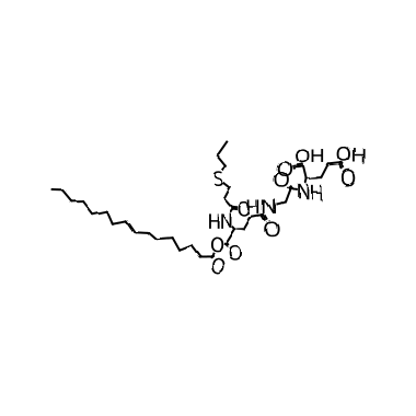 CCCCCCCCCCCCCCCC(=O)OC(=O)[C@H](CCC(=O)NCC(=O)N[C@H](CCC(=O)O)C(=O)O)NC(=O)CCSCCC